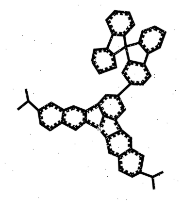 CC(C)c1ccc2cc3c(cc2c1)c1cc(-c2ccc4c(c2)C2(c5ccccc5-c5ccccc52)c2ccccc2-4)cc2c4cc5cc(C(C)C)ccc5cc4n3c12